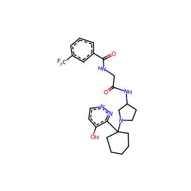 O=C(CNC(=O)c1cccc(C(F)(F)F)c1)NC1CCN(C2(c3nnccc3O)CCCCC2)C1